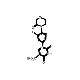 CCOC(=O)c1cn(-c2ccc(N3CCOCC3=O)c(F)c2)c(=O)[nH]c1=O